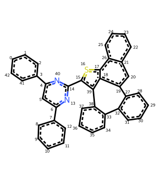 c1ccc(-c2cc(-c3ccccc3)nc(-c3sc4c5c(cc6ccccc64)-c4ccccc4-c4ccccc4-c35)n2)cc1